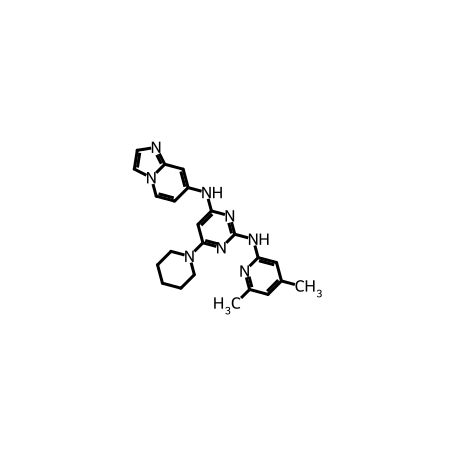 Cc1cc(C)nc(Nc2nc(Nc3ccn4ccnc4c3)cc(N3CCCCC3)n2)c1